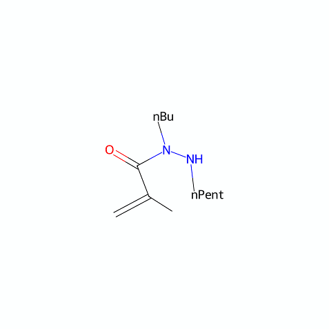 C=C(C)C(=O)N(CCCC)NCCCCC